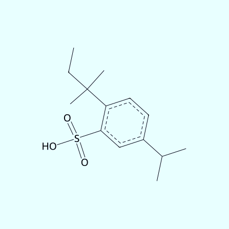 CCC(C)(C)c1ccc(C(C)C)cc1S(=O)(=O)O